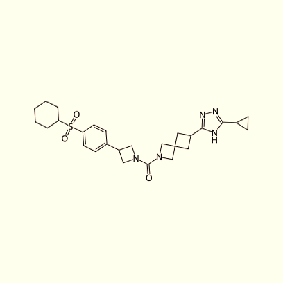 O=C(N1CC(c2ccc(S(=O)(=O)C3CCCCC3)cc2)C1)N1CC2(CC(c3nnc(C4CC4)[nH]3)C2)C1